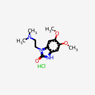 COc1cc2[nH]c(=O)n(CCN(C)C)c2cc1OC.Cl